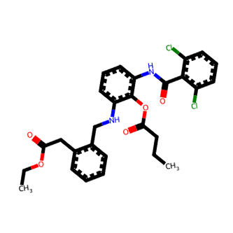 CCCC(=O)Oc1c(NCc2ccccc2CC(=O)OCC)cccc1NC(=O)c1c(Cl)cccc1Cl